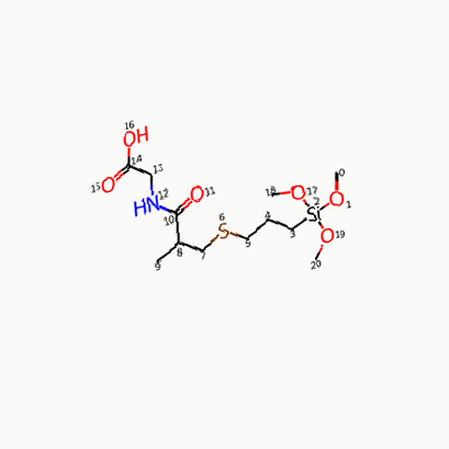 CO[Si](CCCSCC(C)C(=O)NCC(=O)O)(OC)OC